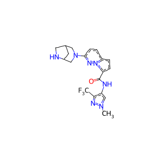 Cn1cc(NC(=O)c2ccc3ccc(N4CC5CNC(C5)C4)nn23)c(C(F)(F)F)n1